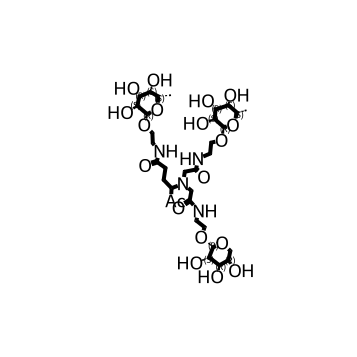 CC(=O)C(CCC(=O)NCCO[C@@H]1O[C@@H](C)[C@@H](O)[C@@H](O)[C@@H]1O)N(CC(=O)NCCO[C@@H]1O[C@@H](C)[C@@H](O)[C@@H](O)[C@@H]1O)CC(=O)NCCO[C@@H]1OC[C@@H](O)[C@@H](O)[C@@H]1O